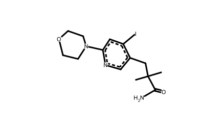 CC(C)(Cc1cnc(N2CCOCC2)cc1I)C(N)=O